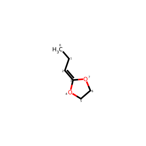 CCC=C1OCCO1